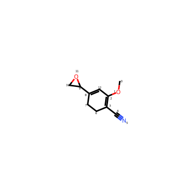 COC1=C(C#N)CCC(C2CO2)=C1